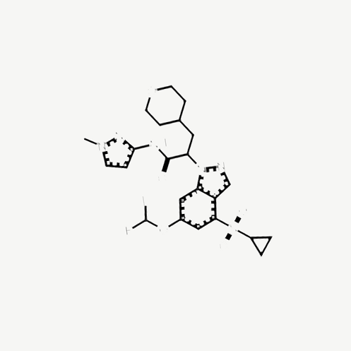 Cn1ccc(NC(=O)C(CC2CCOCC2)n2ncc3c(S(=O)(=O)C4CC4)cc(OC(F)F)cc32)n1